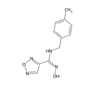 Cc1ccc(CNC(=NO)c2cnon2)cc1